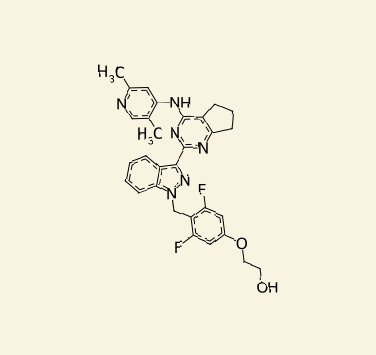 Cc1cc(Nc2nc(-c3nn(Cc4c(F)cc(OCCO)cc4F)c4ccccc34)nc3c2CCC3)c(C)cn1